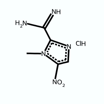 Cl.Cn1c([N+](=O)[O-])cnc1C(=N)N